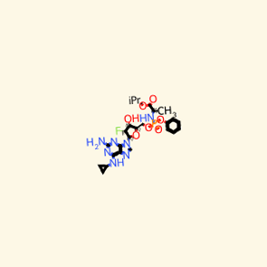 CC(C)OC(=O)[C@@H](C)NP(=O)(OC[C@H]1O[C@@H](n2cnc3c(NC4CC4)nc(N)nc32)[C@H](F)[C@@H]1O)Oc1ccccc1